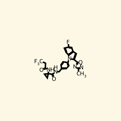 Cc1noc(-c2cc3cc(F)ccc3n2-c2ccc(CNC(=O)C3(NC(=O)CC(F)(F)F)CC3)cc2)n1